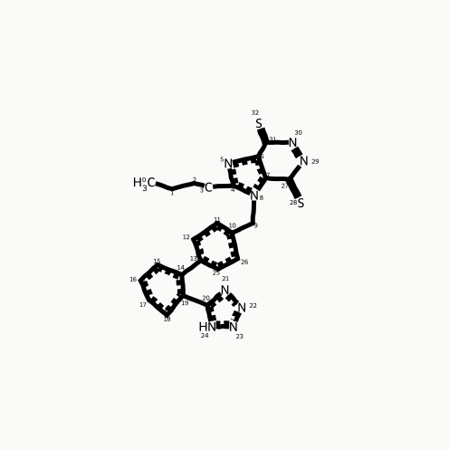 CCCCc1nc2c(n1Cc1ccc(-c3ccccc3-c3nnn[nH]3)cc1)C(=S)N=NC2=S